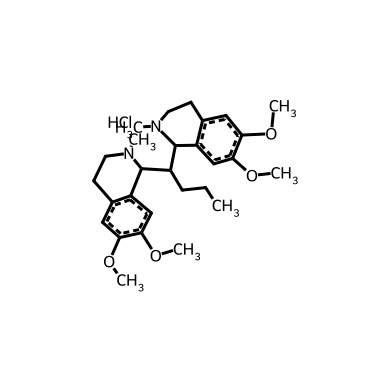 CCCC(C1c2cc(OC)c(OC)cc2CCN1C)C1c2cc(OC)c(OC)cc2CCN1C.Cl